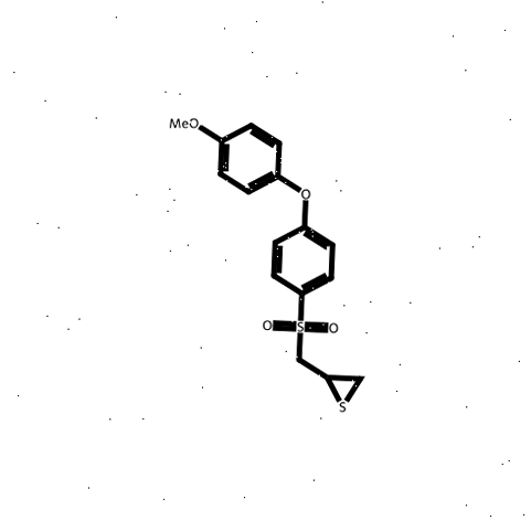 COc1ccc(Oc2ccc(S(=O)(=O)CC3CS3)cc2)cc1